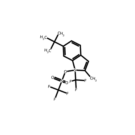 CC1=Cc2ccc(C(C)(C)C)cc2S1(OS(=O)(=O)C(F)(F)F)C(F)(F)F